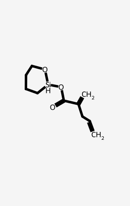 C=CCC(=C)C(=O)O[SiH]1CCCCO1